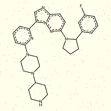 Fc1cccc(C2CCCN2c2ccc3ncc(-c4cccc(N5CCN(C6CCNCC6)CC5)n4)n3n2)c1